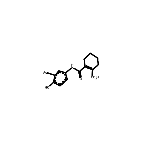 CC(=O)c1cc(NC(=O)C2=C(C(=O)O)CCCC2)ccc1O